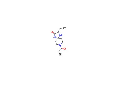 CC(C)CC(=O)N1CCC2(CC1)[N]C(=O)C(CC(C)C)N2